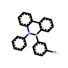 FC(F)(F)c1cccc(B2c3ccccc3-c3ccccc3N2c2ccccc2)c1